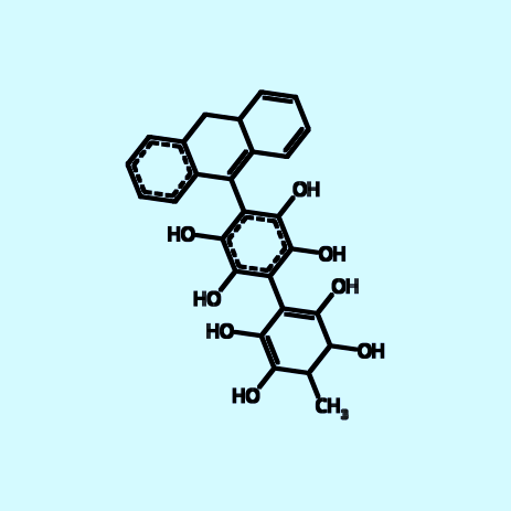 CC1C(O)=C(O)C(c2c(O)c(O)c(C3=C4C=CC=CC4Cc4ccccc43)c(O)c2O)=C(O)C1O